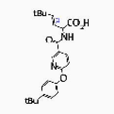 CC(C)(C)/C=C/C(NC(=O)c1ccc(Oc2ccc(C(C)(C)C)cc2)nc1)C(=O)O